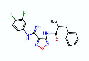 CC(C)(C)C(Cc1ccccc1)C(=O)Nc1nonc1C(=N)Nc1ccc(F)c(Br)c1